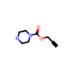 C#CCOC(=O)N1CC[N]CC1